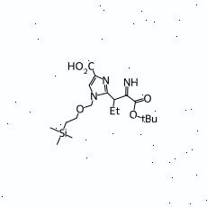 CCC(C(=N)C(=O)OC(C)(C)C)c1nc(C(=O)O)cn1COCC[Si](C)(C)C